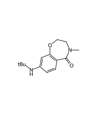 CN1CCOc2cc(NC(C)(C)C)ccc2C1=O